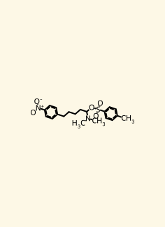 Cc1ccc(S(=O)(=O)OC(CCCCc2ccc([N+](=O)[O-])cc2)N(C)C)cc1